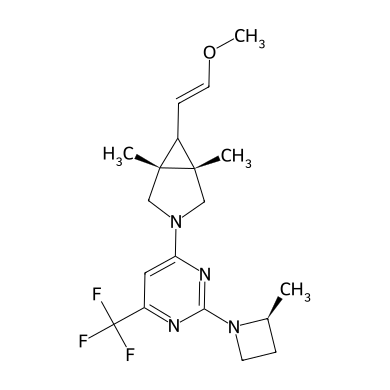 CO/C=C/C1[C@]2(C)CN(c3cc(C(F)(F)F)nc(N4CC[C@@H]4C)n3)C[C@]12C